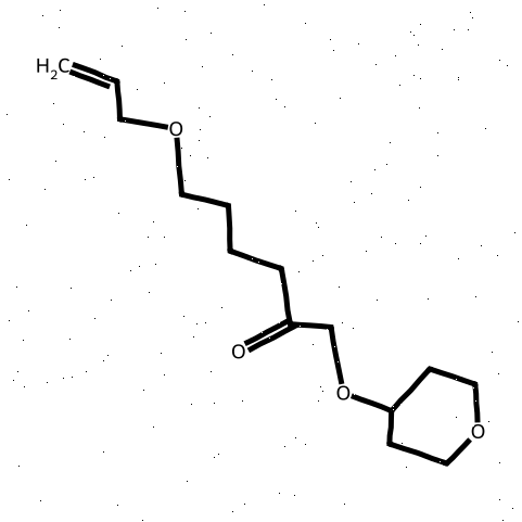 C=CCOCCCCC(=O)COC1CCOCC1